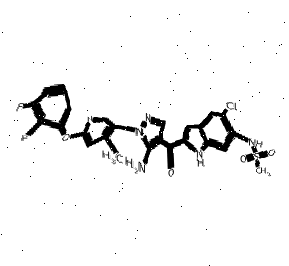 Cc1cc(Oc2cccc(F)c2F)ncc1-n1ncc(C(=O)c2cc3cc(Cl)c(NS(C)(=O)=O)cc3[nH]2)c1N